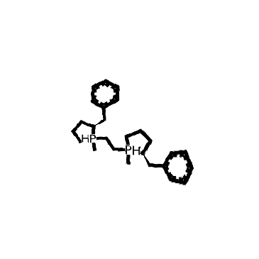 C[PH]1(CC[PH]2(C)CCC[C@H]2Cc2ccccc2)CCC[C@H]1Cc1ccccc1